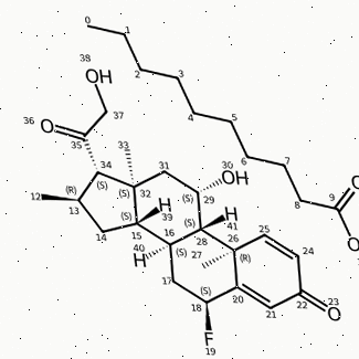 CCCCCCCCCC(=O)O.C[C@@H]1C[C@H]2[C@@H]3C[C@H](F)C4=CC(=O)C=C[C@]4(C)[C@H]3[C@@H](O)C[C@]2(C)[C@H]1C(=O)CO